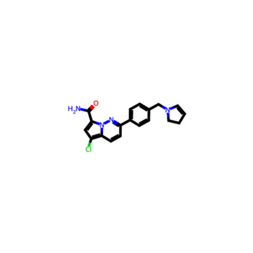 NC(=O)c1cc(Cl)c2ccc(-c3ccc(CN4C=CCC4)cc3)nn12